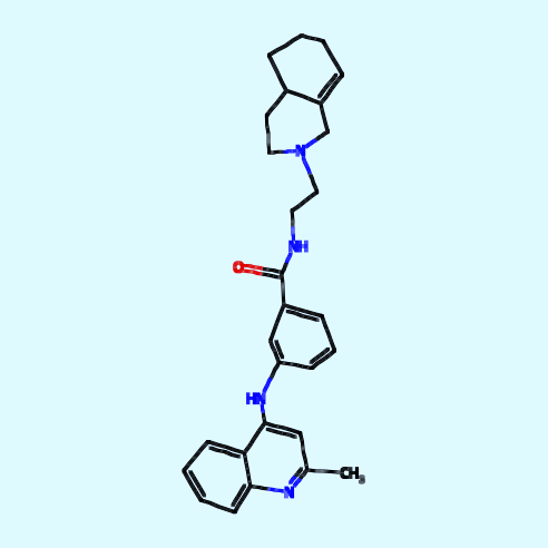 Cc1cc(Nc2cccc(C(=O)NCCN3CCC4CCCC=C4C3)c2)c2ccccc2n1